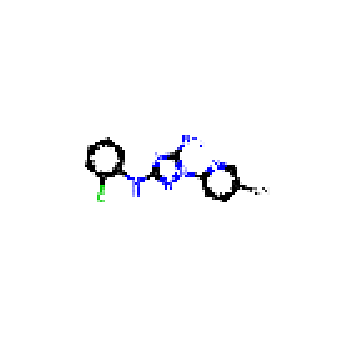 N#Cc1ccc(-n2nc(Nc3ccccc3Cl)nc2N)nc1